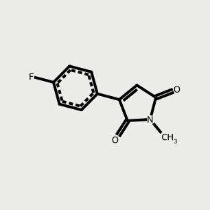 CN1C(=O)C=C(c2ccc(F)cc2)C1=O